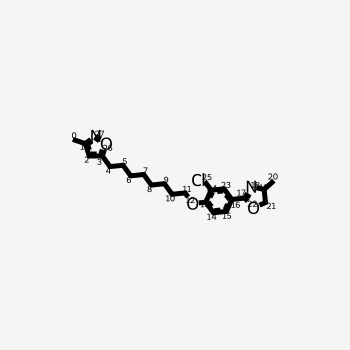 Cc1cc(CCCCCCCCOc2ccc(C3=NC(C)CO3)cc2Cl)on1